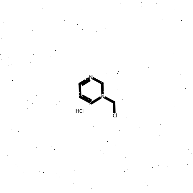 Cl.ClCN1C=CC=NC1